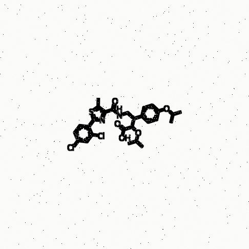 Cc1sc(-c2ccc(Cl)cc2Cl)nc1C(=O)NCC(c1ccc(OC(C)C)cc1)C(OC(C)C)C(=O)O